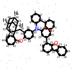 c1ccc(-c2ccccc2N(c2cccc(-c3cccc4c3oc3ccccc34)c2)c2ccc3c(c2)CC2(c4ccccc4O3)[C@H]3C[C@H]4C[C@H](C[C@H]2C4)C3)cc1